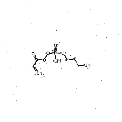 C=CC(=O)OOP(=O)(O)OCCCO